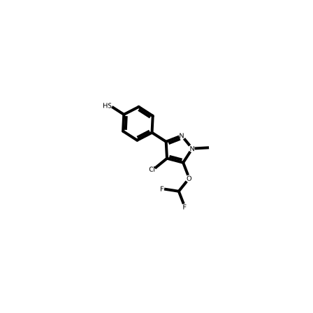 Cn1nc(-c2ccc(S)cc2)c(Cl)c1OC(F)F